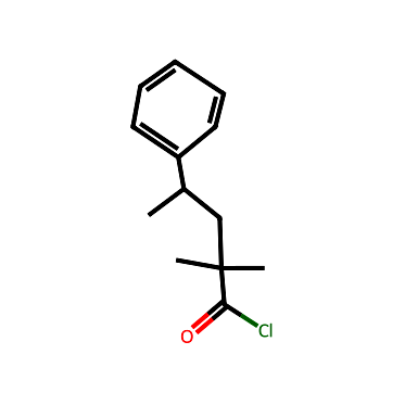 CC(CC(C)(C)C(=O)Cl)c1ccccc1